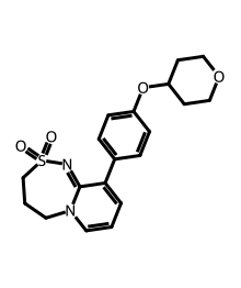 O=S1(=O)CCCN2C=CC=C(c3ccc(OC4CCOCC4)cc3)C2=N1